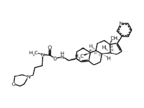 CN(CCCN1CCOCC1)C(=O)ONCC1C=C2CC[C@H]3[C@H](CC[C@]4(C)C(c5cccnc5)=CC[C@@H]34)[C@@]2(C)CC1